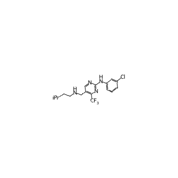 CC(C)CCNCc1cnc(Nc2cccc(Cl)c2)nc1C(F)(F)F